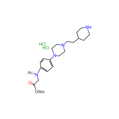 COC(=O)CN(C(C)=O)c1ccc(N2CCN(CCC3CCNCC3)CC2)cc1.Cl.Cl